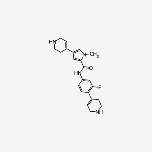 Cn1cc(C2=CCNCC2)cc1C(=O)Nc1ccc(C2=CCNCC2)c(F)c1